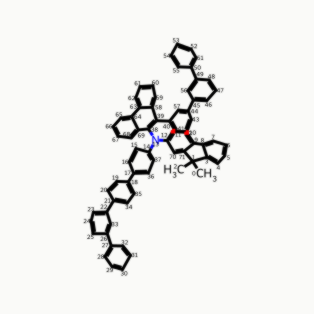 CC1(C)c2ccccc2-c2ccc(N(c3ccc(-c4ccc(-c5cccc(-c6ccccc6)c5)cc4)cc3)c3c(-c4cccc(-c5cccc(-c6ccccc6)c5)c4)c4ccccc4c4ccccc34)cc21